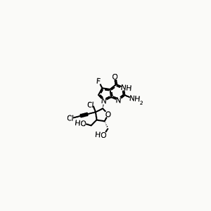 Nc1nc2c(c(F)cn2[C@@H]2O[C@H](CO)C(CO)C2(Cl)C#CCl)c(=O)[nH]1